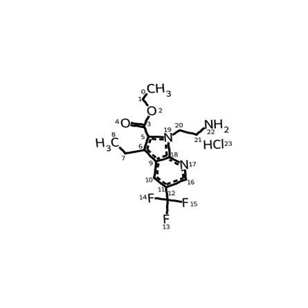 CCOC(=O)c1c(CC)c2cc(C(F)(F)F)cnc2n1CCN.Cl